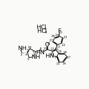 Cl.Cl.NC[C@H]1CN[C@H](CNC(=O)c2[nH]c3ccccc3c2-c2ccc(F)cc2)C1